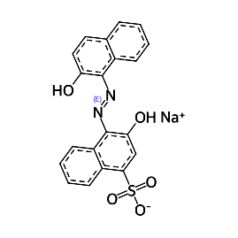 O=S(=O)([O-])c1cc(O)c(/N=N/c2c(O)ccc3ccccc23)c2ccccc12.[Na+]